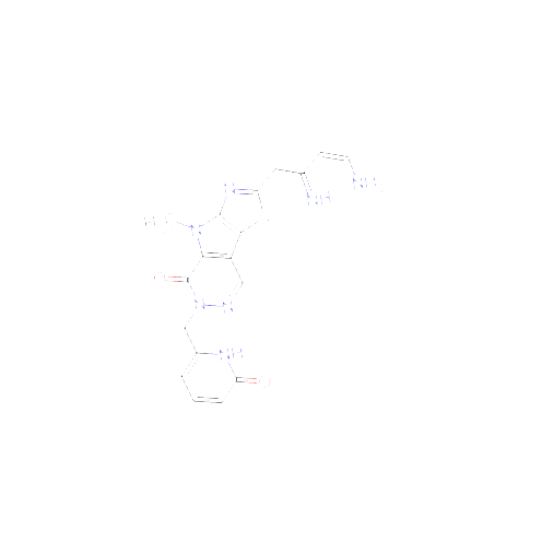 Cn1c2nc(CC(=N)/C=C\N)sc2c2cnn(Cc3cccc(=O)[nH]3)c(=O)c21